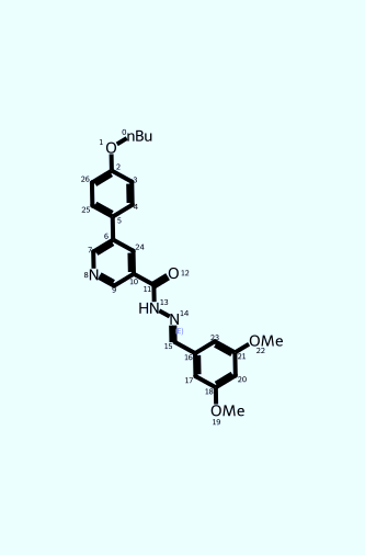 CCCCOc1ccc(-c2cncc(C(=O)N/N=C/c3cc(OC)cc(OC)c3)c2)cc1